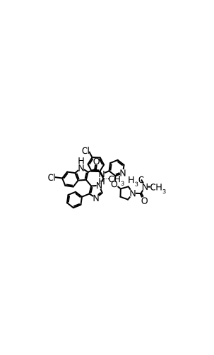 C[C@@H](c1ccc(Cl)cc1)n1cnc(-c2ccccc2)c1-c1c(C(=O)Nc2cccnc2OC2CCN(C(=O)N(C)C)C2)[nH]c2cc(Cl)ccc12